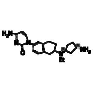 CCN(C1CCc2cc(-n3ccc(N)nc3=O)ccc2C1)[C@H]1CC[C@H](N)C1